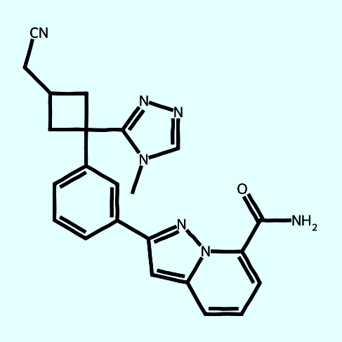 Cn1cnnc1C1(c2cccc(-c3cc4cccc(C(N)=O)n4n3)c2)CC(CC#N)C1